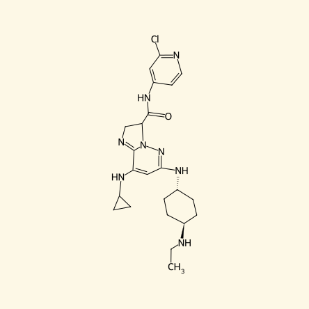 CCN[C@H]1CC[C@H](NC2=NN3C(=NCC3C(=O)Nc3ccnc(Cl)c3)C(NC3CC3)=C2)CC1